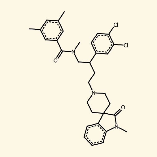 Cc1cc(C)cc(C(=O)N(C)CC(CCN2CCC3(CC2)C(=O)N(C)c2ccccc23)c2ccc(Cl)c(Cl)c2)c1